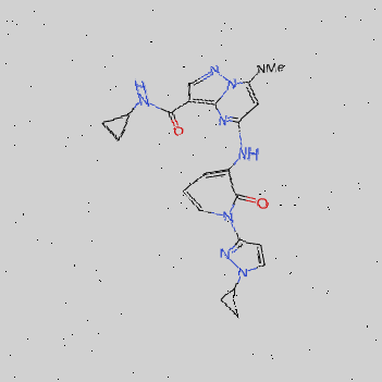 CNc1cc(Nc2cccn(-c3ccn(C4CC4)n3)c2=O)nc2c(C(=O)NC3CC3)cnn12